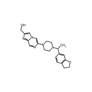 CC(c1ccc2c(c1)OCC2)N1CCN(c2cn3cc(CO)nc3cn2)CC1